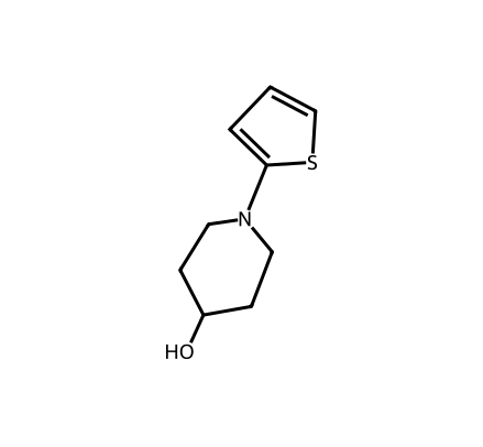 OC1CCN(c2cccs2)CC1